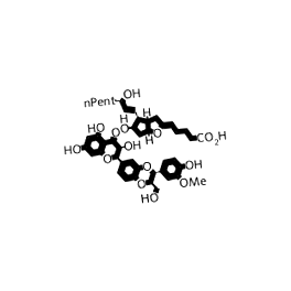 CCCCC[C@H](O)/C=C/[C@@H]1[C@H]2C/C(=C/CCCC(=O)O)O[C@H]2C[C@H]1O.COc1cc([C@H]2Oc3cc([C@H]4Oc5cc(O)cc(O)c5C(=O)[C@@H]4O)ccc3O[C@@H]2CO)ccc1O